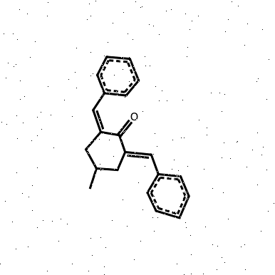 CC1CC(=Cc2ccccc2)C(=O)C(=Cc2ccccc2)C1